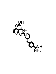 N=C(N)c1ccc(CC2CCCN(C(=O)N[C@@H](CC(=O)O)c3cccnc3)C2)cc1